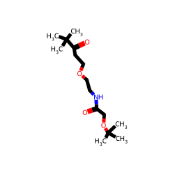 CC(C)(C)OCC(=O)NCCOCCC(=O)C(C)(C)C